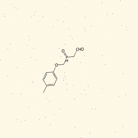 Cc1ccc(OC[PH](=O)CC=O)cc1